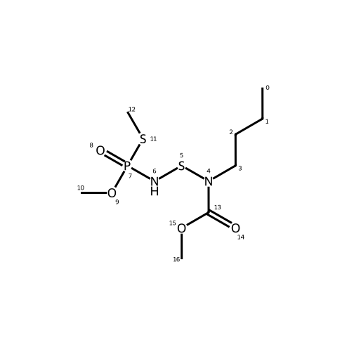 CCCCN(SNP(=O)(OC)SC)C(=O)OC